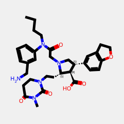 CCCCN(C(=O)CN1C[C@H](c2ccc3c(c2)CCO3)[C@@H](C(=O)O)[C@@H]1CCN1CCC(=O)N(C)C1=O)c1cccc(CN)c1